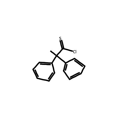 CC(C(=S)Cl)(c1ccccc1)c1ccccc1